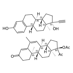 C#C[C@]1(O)CC[C@H]2[C@@H]3CCc4cc(O)ccc4[C@H]3CC[C@@]21C.CC(=O)O[C@]1(C(C)=O)CC[C@H]2[C@@H]3C=C(C)C4=CC(=O)CC[C@]4(C)[C@H]3CC[C@@]21C